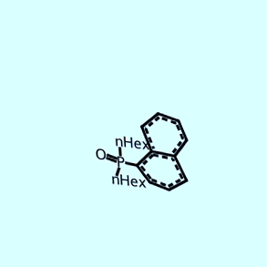 CCCCCCP(=O)(CCCCCC)c1cccc2ccccc12